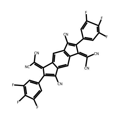 N#CC(C#N)=C1C(c2cc(F)c(F)c(F)c2)=C(C#N)c2cc3c(cc21)C(C#N)=C(c1cc(F)c(F)c(F)c1)C3=C(C#N)C#N